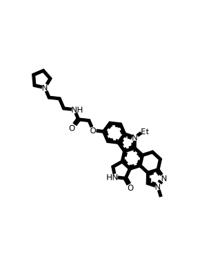 CCn1c2ccc(OCC(=O)NCCCN3CCCC3)cc2c2c3c(c4c(c21)CCc1nn(C)cc1-4)C(=O)NC3